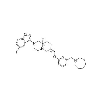 Fc1ccc2onc(N3CCN4C[C@H](COc5cccc(CN6CCCCCC6)n5)CC[C@H]4C3)c2c1